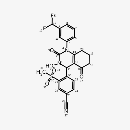 CN1C(=O)N(c2cccc(C(F)F)c2)C2=C(C(=O)CCC2)C1c1ccc(C#N)cc1S(C)(=O)=O